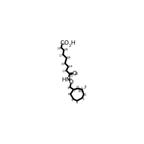 C[C@@H]1CCCCCC(CONC(=O)CCCCCCCC(=O)O)C1